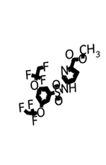 COC(=O)c1ccc(NS(=O)(=O)c2cc(OC(F)(F)CF)cc(OC(F)(F)CF)c2)cn1